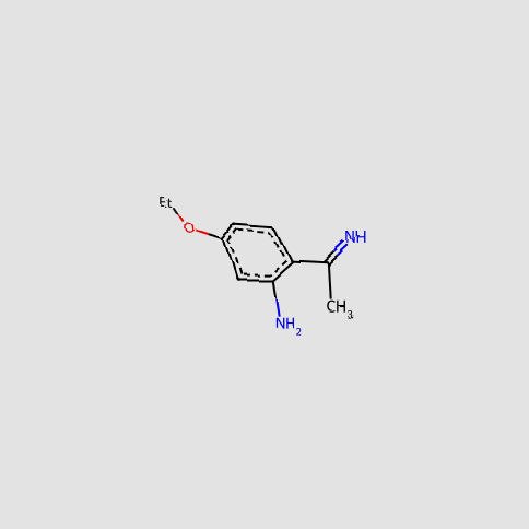 CCOc1ccc(C(C)=N)c(N)c1